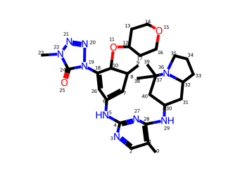 Cc1cnc(NC2=CC(C)C(OC3CCOCC3)C(n3nnn(C)c3=O)=C2)nc1NC1CC2CCCN2C(C)(C)C1